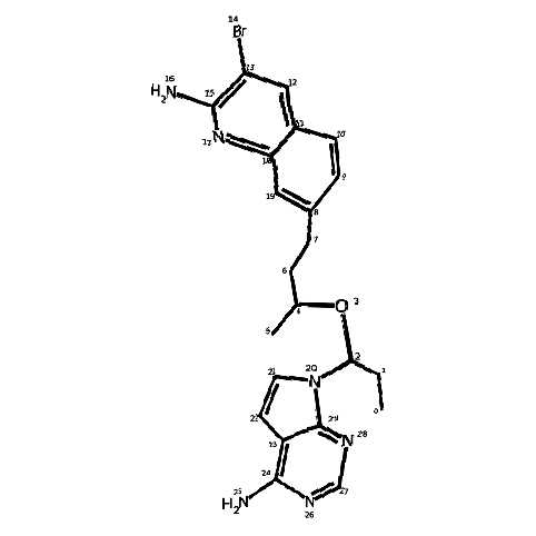 CCC(OC(C)CCc1ccc2cc(Br)c(N)nc2c1)n1ccc2c(N)ncnc21